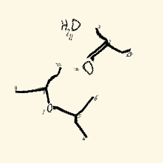 CC(C)=O.CC(C)OC(C)C.O